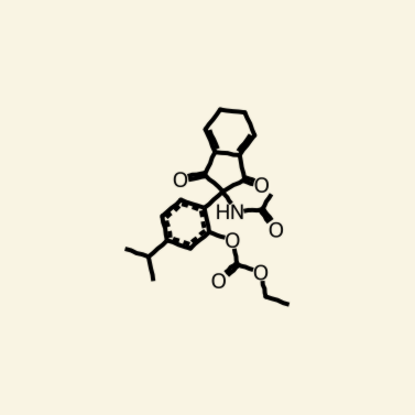 CCOC(=O)Oc1cc(C(C)C)ccc1C1(NC(C)=O)C(=O)C2=CCCC=C2C1=O